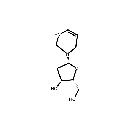 OC[C@H]1O[C@@H](N2CC=CNC2)C[C@@H]1O